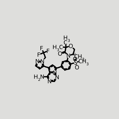 C[C@H]1COC(C)(C)C(=O)N1c1cc(-c2cc(-c3ccnn3CC(F)(F)F)c3c(N)ncnn23)ccc1S(C)(=O)=O